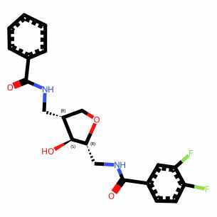 O=C(NC[C@@H]1CO[C@H](CNC(=O)c2ccc(F)c(F)c2)[C@H]1O)c1ccccc1